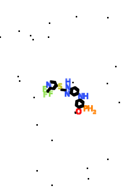 COc1ccc(Nc2ccc3[nH]c(CSc4ccnc(C(F)(F)F)c4)nc3c2)cc1P